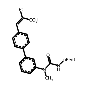 CCCCCNC(=O)N(C)c1cccc(-c2ccc(C=C(CC)C(=O)O)cc2)c1